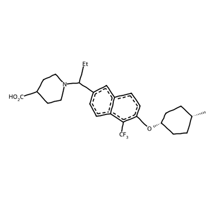 CCC(c1ccc2c(C(F)(F)F)c(O[C@H]3CC[C@@H](C)CC3)ccc2c1)N1CCC(C(=O)O)CC1